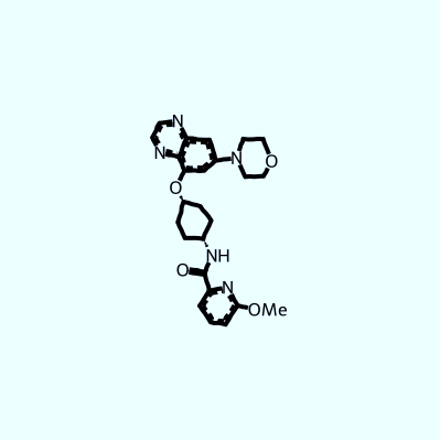 COc1cccc(C(=O)N[C@H]2CC[C@@H](Oc3cc(N4CCOCC4)cc4nccnc34)CC2)n1